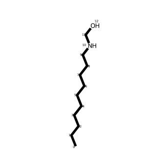 CCCCCCCCCCNCO